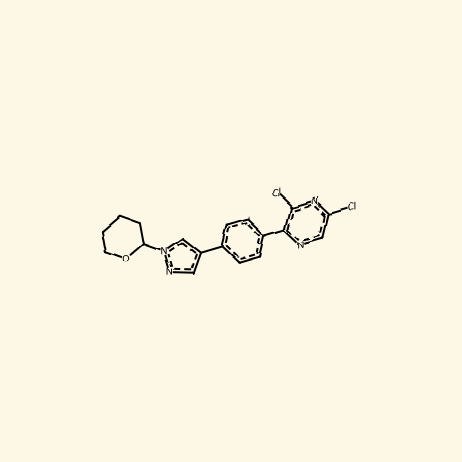 Clc1cnc(-c2[c]cc(-c3cnn(C4CCCCO4)c3)cc2)c(Cl)n1